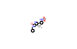 CS(=O)(=O)Nc1cccc(-c2cnc3c(c2C(F)(F)F)CN(Cc2ccccc2)C3=O)c1